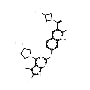 C=C(c1cc2ccc(Sc3nc(N4CC[C@H](N)C4)c4c(Cl)c(CC)[nH]c4n3)cc2[n+]([O-])c1C)N1CC(O)C1